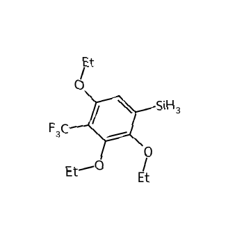 CCOc1cc([SiH3])c(OCC)c(OCC)c1C(F)(F)F